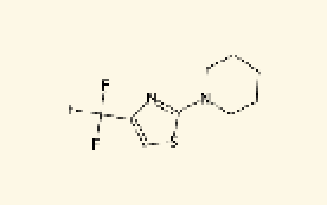 FC(F)(F)c1csc(N2CCCCC2)n1